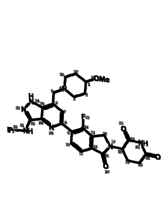 COC1CCN(Cc2cc(-c3ccc4c(c3F)CN(C3CCC(=O)NC3=O)C4=O)nc3c(NC(C)C)n[nH]c23)CC1